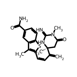 C=C(/C=C\c1sc2ccc(C(N)=O)cc2c1C)[C@]1(C)CC(=O)N(C)C(=N)N1